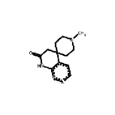 CN1CCC2(CC1)CC(=O)Nc1nnccc12